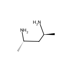 C[C@H](N)C[C@H](C)N